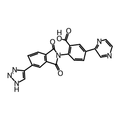 O=C(O)c1cc(-c2cnccn2)ccc1N1C(=O)c2ccc(-c3c[nH]nn3)cc2C1=O